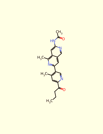 CCCC(=O)c1cc(C)c(-c2cc3cnc(NC(C)=O)cc3c(C)n2)cn1